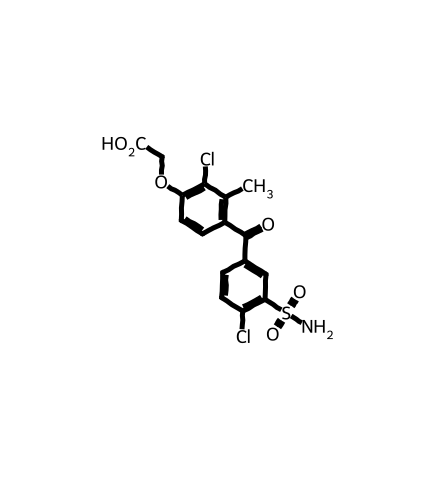 Cc1c(C(=O)c2ccc(Cl)c(S(N)(=O)=O)c2)ccc(OCC(=O)O)c1Cl